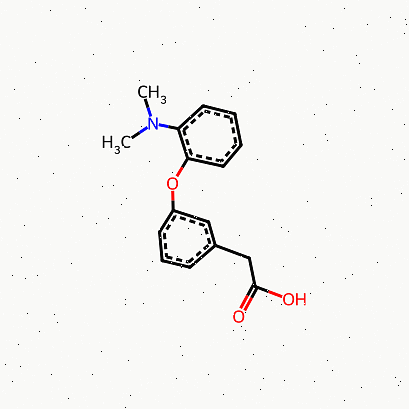 CN(C)c1ccccc1Oc1cccc(CC(=O)O)c1